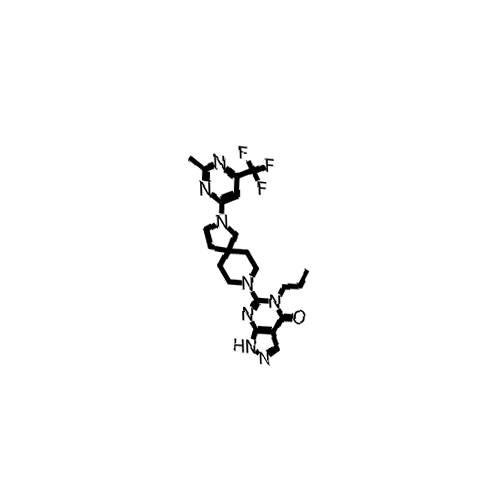 CCCn1c(N2CCC3(CCN(c4cc(C(F)(F)F)nc(C)n4)C3)CC2)nc2[nH]ncc2c1=O